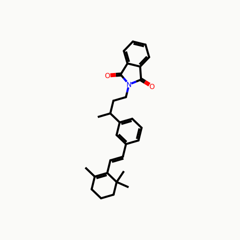 CC1=C(C=Cc2cccc(C(C)CCN3C(=O)c4ccccc4C3=O)c2)C(C)(C)CCC1